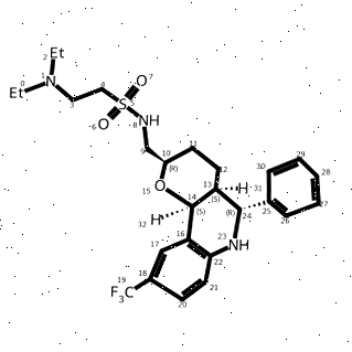 CCN(CC)CCS(=O)(=O)NC[C@H]1CC[C@@H]2[C@H](O1)c1cc(C(F)(F)F)ccc1N[C@H]2c1ccccc1